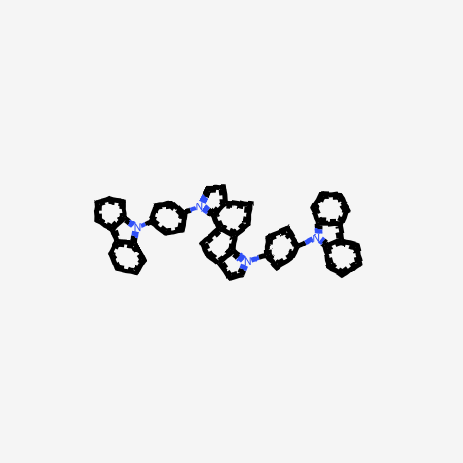 c1ccc2c(c1)c1ccccc1n2-c1ccc(-n2ccc3ccc4c(ccc5ccn(-c6ccc(-n7c8ccccc8c8ccccc87)cc6)c54)c32)cc1